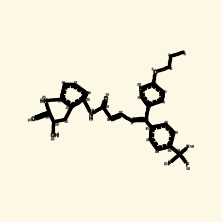 CCCOc1ccc(/C(=C\C=C\C(=O)Nc2cccc3c2CC(O)C(=O)N3)c2ccc(C(F)(F)F)cc2)cn1